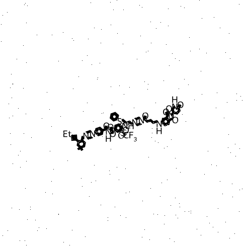 CCC12CC(C3=C(CN4CCN(c5ccc(C(=O)NS(=O)(=O)c6ccc(N[C@H](CCN7CCN(C(=O)CCCCNc8ccc9c(c8)C(=O)N(C8CCC(=O)NC8=O)C9=O)CC7)CSc7ccccc7)c(S(=O)(=O)C(F)(F)F)c6)cc5)CC4)CCC(C)(C)C3)(C1)C2